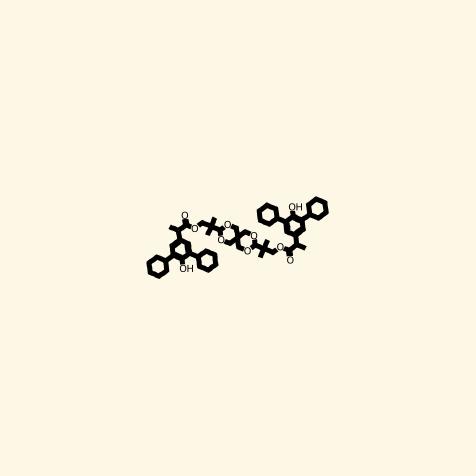 CC(C(=O)OCC(C)(C)C1OCC2(CO1)COC(C(C)(C)COC(=O)C(C)c1cc(C3CCCCC3)c(O)c(C3CCCCC3)c1)OC2)c1cc(C2CCCCC2)c(O)c(C2CCCCC2)c1